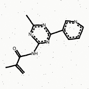 C=C(C)C(=O)Nc1nc(C)nc(-c2cccnc2)n1